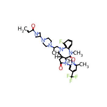 C=CC(=O)N1CC(N2CCN(C(C)CN3C[C@H]4CC(=O)N(c5cc(C(F)(F)F)cc(C)n5)[C@@H]4C(=O)N(C)c4cccc(F)c43)CC2)C1